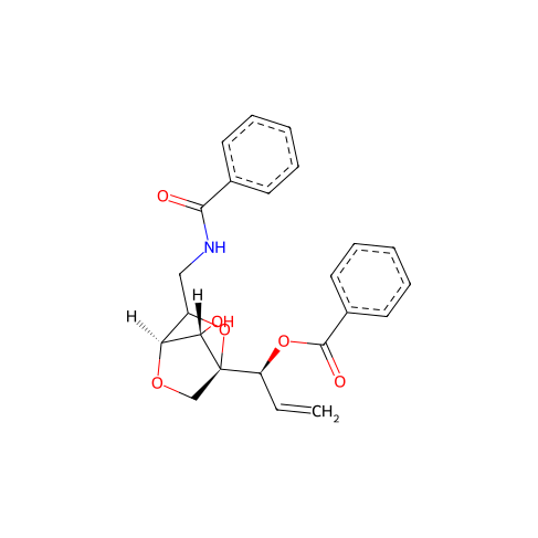 C=C[C@H](OC(=O)c1ccccc1)[C@@]12CO[C@@H](C(CNC(=O)c3ccccc3)O1)[C@@H]2O